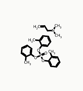 C=CCN(C)C.Cc1ccccc1OP(=O)(Oc1ccccc1C)Oc1ccccc1C